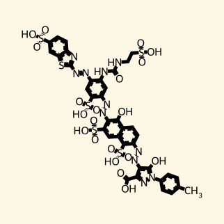 Cc1ccc(-n2nc(C(=O)O)c(N=Nc3ccc4c(O)c(N=Nc5cc(NC(=O)NCCS(=O)(=O)O)c(N=Nc6nc7ccc(S(=O)(=O)O)cc7s6)cc5S(=O)(=O)O)c(S(=O)(=O)O)cc4c3S(=O)(=O)O)c2O)cc1